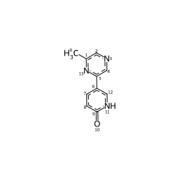 Cc1cncc(-c2ccc(=O)[nH]c2)n1